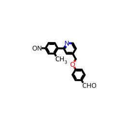 Cc1cc(N=O)ccc1-c1cc(COc2ccc(C=O)cc2)ccn1